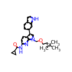 C[Si](C)(C)CCOCn1cc(-c2ccc3cc[nH]c3c2)c2ccc(NC(=O)C3CC3)nc21